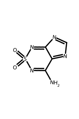 NC1=NS(=O)(=O)N=C2N=CN=C12